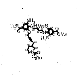 COC(=O)c1cc(N)c(NC/C=C/CNc2c(N)cc(C(N)=O)cc2OCC#CCC2CCCN(C(=O)OC(C)(C)C)C2)c(OC)c1